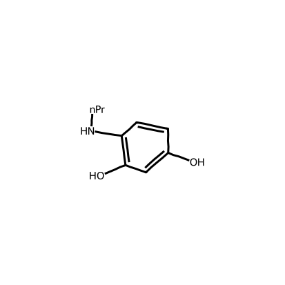 CCCNc1ccc(O)cc1O